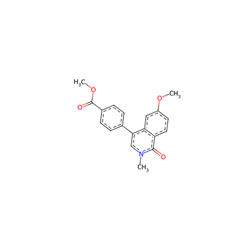 COC(=O)c1ccc(-c2cn(C)c(=O)c3ccc(OC)cc23)cc1